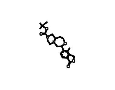 Cc1c(C2CN3CCN(C(=O)OC(C)(C)C)CC3CCO2)ccc2c1COC2=O